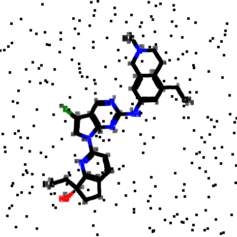 CCc1cc(Nc2ncc3c(F)cn(-c4ccc5c(n4)[C@](O)(CC)CC5)c3n2)cc2c1CCN(C)C2